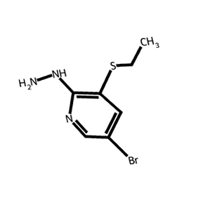 CCSc1cc(Br)cnc1NN